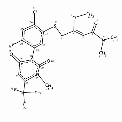 CO/C(=C\C(=O)N(C)C)CSc1cc(-n2c(=O)cc(C(F)(F)F)n(C)c2=O)c(F)cc1Cl